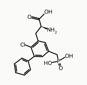 N[C@@H](Cc1cc(CP(=O)(O)O)cc(-c2ccccc2)c1Cl)C(=O)O